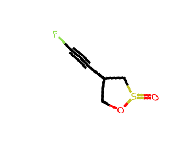 O=S1CC(C#CF)CO1